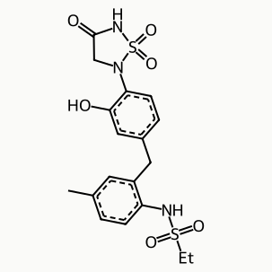 CCS(=O)(=O)Nc1ccc(C)cc1Cc1ccc(N2CC(=O)NS2(=O)=O)c(O)c1